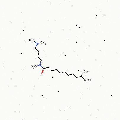 CCCCCCCCCCC(CCCCCCCCCC)CCCCCCCCC(=O)N(C)CCCCN(C)C